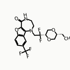 CC[C@@H]1CO[C@H](C(F)(F)CN2CCNC(=O)c3oc4ccc(C(F)(F)F)cc4c32)CO1